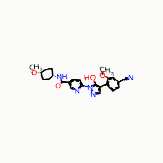 COc1cc(C#N)ccc1-c1cnn(-c2ccc(C(=O)N[C@H]3CC[C@@H](OC)CC3)cn2)c1O